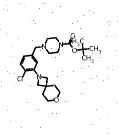 CC(C)(C)OC(=O)N1CCN(Cc2ccc(Cl)c(N3CC4(CCOCC4)C3)c2)CC1